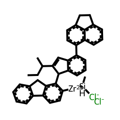 CCC(C)C1=Cc2c(-c3ccc4c5c(cccc35)CC4)cccc2C1c1[c]([Zr+2][SiH](C)C)ccc2c1Cc1ccccc1-2.[Cl-].[Cl-]